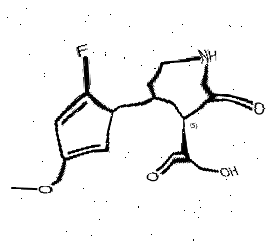 COC1=CC(C2CNC(=O)[C@H]2C(=O)O)C(F)=C1